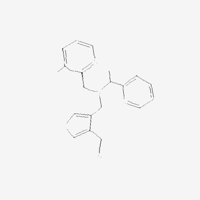 Cc1cccnc1CN(Cc1cscc1CN)C(C)c1ccccn1